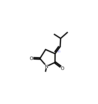 CC(C)/C=C1\CC(=O)N(C)C1=O